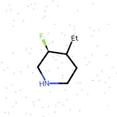 CC[C]1CCNC[C@H]1F